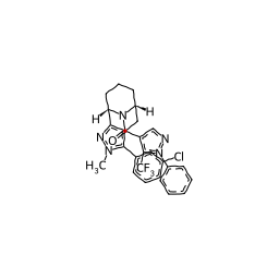 Cn1nc2c(c1-c1cccc(Cl)c1)C[C@H]1CCC[C@@H]2N1C(=O)c1cnn(-c2ccccc2)c1C(F)(F)F